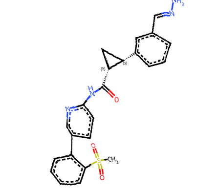 CS(=O)(=O)c1ccccc1-c1ccc(NC(=O)[C@@H]2C[C@@H]2c2cccc(C=NN)c2)nc1